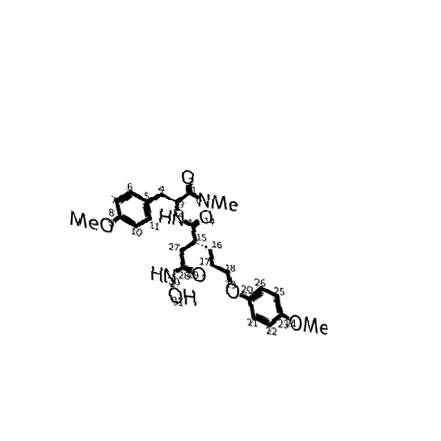 CNC(=O)[C@H](Cc1ccc(OC)cc1)NC(=O)[C@H](CCCOc1ccc(OC)cc1)CC(=O)NO